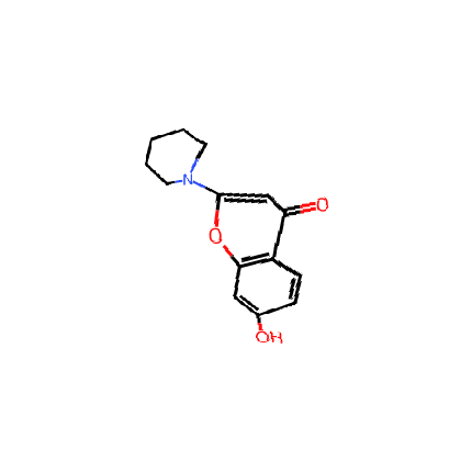 O=c1cc(N2CCCCC2)oc2cc(O)ccc12